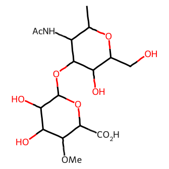 COC1C(C(=O)O)OC(OC2C(O)C(CO)OC(C)C2NC(C)=O)C(O)C1O